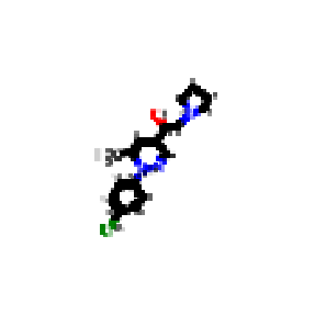 CC1=C=C(C(=O)CN2CCCC2)C=NN1c1ccc(Cl)cc1